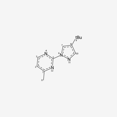 Cc1ccnc(-n2cc(C(C)(C)C)cn2)n1